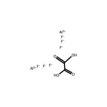 O=C(O)C(=O)O.[Al+3].[Al+3].[F-].[F-].[F-].[F-].[F-].[F-]